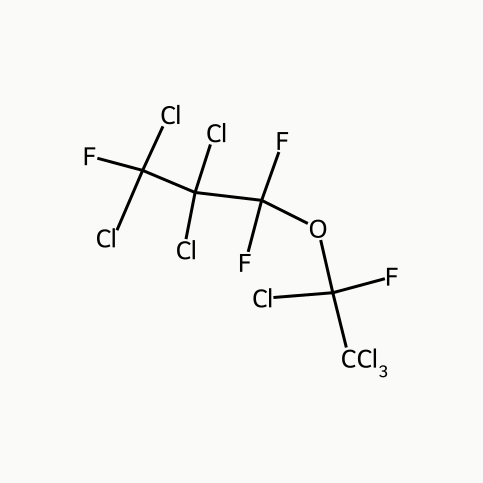 FC(Cl)(Cl)C(Cl)(Cl)C(F)(F)OC(F)(Cl)C(Cl)(Cl)Cl